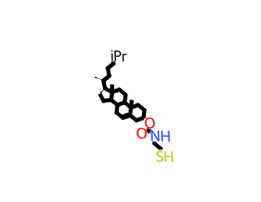 CC(C)CCC[C@@H](C)[C@H]1CCC2C3CC=C4CC(OC(=O)NCCS)CCC4(C)C3CCC21C